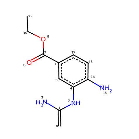 C=C(N)Nc1cc(C(=O)OCC)ccc1N